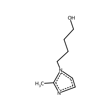 Cc1nccn1CCCCO